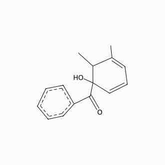 CC1=CC=CC(O)(C(=O)c2ccccc2)C1C